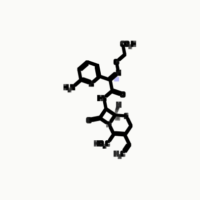 C=CC1=C(C(=O)O)N2C(=O)C(NC(=O)/C(=N/OCC(=O)O)c3cccc(N)n3)[C@H]2SC1